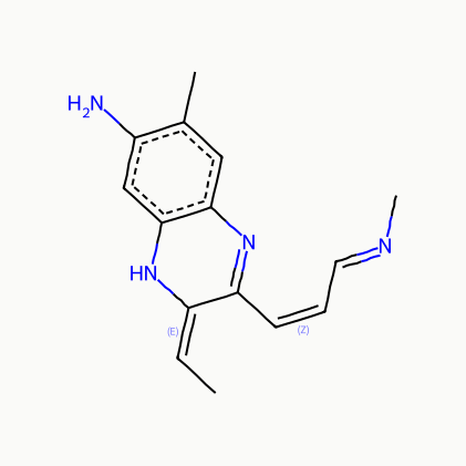 C/C=C1/Nc2cc(N)c(C)cc2N=C1/C=C\C=NC